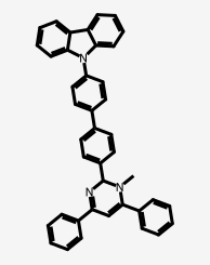 CN1C(c2ccccc2)=CC(c2ccccc2)=NC1c1ccc(-c2ccc(-n3c4ccccc4c4ccccc43)cc2)cc1